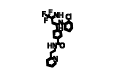 N=C(/C=C(\Nc1ccccc1Cl)c1ccc(C(=O)NCCc2ccccn2)cc1)C(F)(F)F